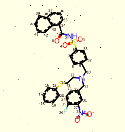 O=C(NS(=O)(=O)c1ccc(CN(CCSc2ccccc2)Cc2ccc(F)c([N+](=O)[O-])c2)cc1)c1cccc2ccccc12